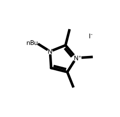 CCCCn1cc(C)[n+](C)c1C.[I-]